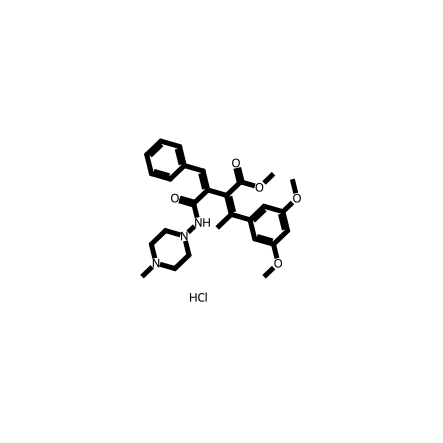 COC(=O)C(C(=Cc1ccccc1)C(=O)NN1CCN(C)CC1)=C(C)c1cc(OC)cc(OC)c1.Cl